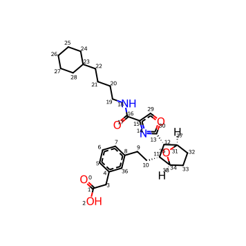 O=C(O)Cc1cccc(CC[C@@H]2[C@H](c3nc(C(=O)NCCCCC4CCCCC4)co3)[C@H]3CC[C@@H]2O3)c1